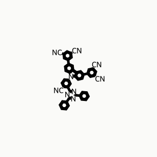 N#Cc1cc(C#N)cc(-c2ccc3c(c2)c2cc(-c4cc(C#N)cc(C#N)c4)ccc2n3-c2ccc(C#N)c(-c3nc(-c4ccccc4)nc(-c4ccccc4)n3)c2)c1